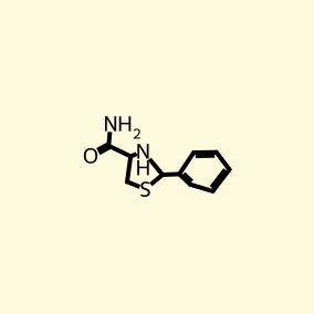 NC(=O)C1CSC(c2ccccc2)N1